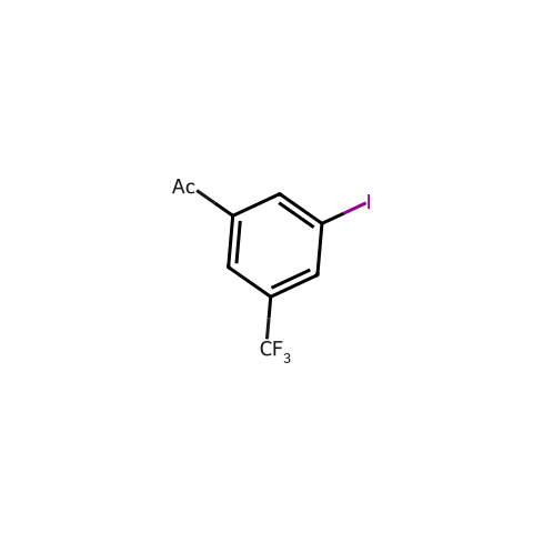 CC(=O)c1cc(I)cc(C(F)(F)F)c1